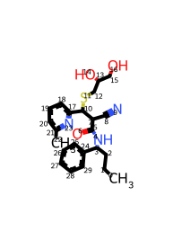 CCCC(NC(=O)C(C#N)C(SCC(O)CO)c1cccc(C)n1)c1ccccc1